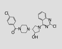 O=C(c1ccc(Cl)cc1)N1CCN([C@@H]2CN(c3nc(Cl)nc4ccccc34)C[C@H]2O)CC1